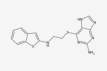 Nc1nc(SCCNc2cc3ccccc3s2)c2[nH]cnc2n1